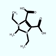 CCN1C(C(=O)O)=C(C(=O)O)N(CC)C1C